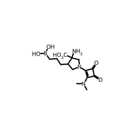 CN(C)c1c(N2CC(CCCB(O)O)C(N)(C(=O)O)C2)c(=O)c1=O